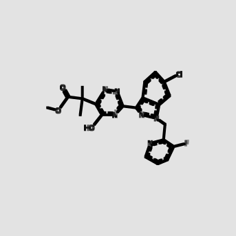 COC(=O)C(C)(C)c1nnc(-c2nn(Cc3ncccc3F)c3cc(Cl)ccc23)nc1O